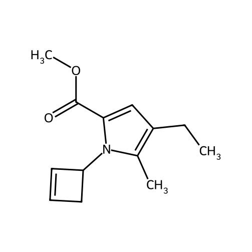 CCc1cc(C(=O)OC)n(C2C=CC2)c1C